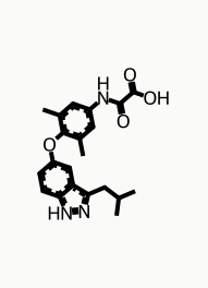 Cc1cc(NC(=O)C(=O)O)cc(C)c1Oc1ccc2[nH]nc(CC(C)C)c2c1